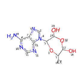 CCC1OC(n2cnc3c(N)ncnc32)C(O)OC1O